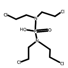 O=P(O)(N(CCCl)CCCl)N(CCCl)CCCl